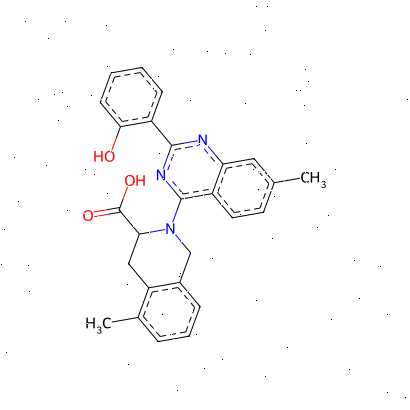 Cc1ccc2c(N3Cc4cccc(C)c4CC3C(=O)O)nc(-c3ccccc3O)nc2c1